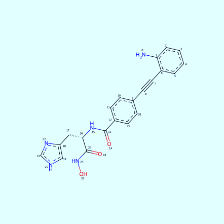 Nc1ccccc1C#Cc1ccc(C(=O)N[C@@H](Cc2c[nH]cn2)C(=O)NO)cc1